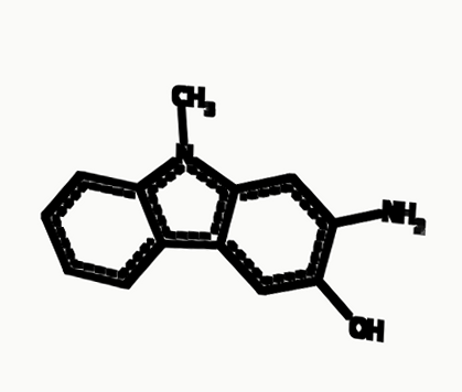 Cn1c2ccccc2c2cc(O)c(N)cc21